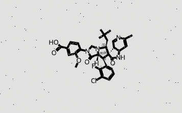 COc1cc(C(=O)O)ccc1N1CN2[C@@H](CC(C)(C)C)[C@@]3(C(=O)NC4C=C(C)N=CC43)[C@@H](c3cccc(Cl)c3F)[C@@H]2C1=O